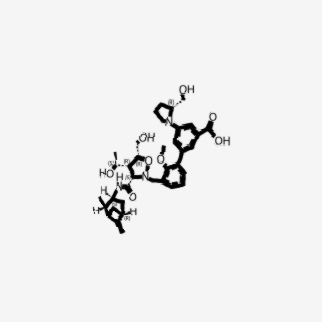 C=C1C2C[C@@H]1C[C@H](NC(=O)[C@@H]1[C@H]([C@H](C)O)[C@H](CO)ON1Cc1cccc(-c3cc(C(=O)O)cc(N4CCC[C@@H]4CO)c3)c1OC)[C@H]2C